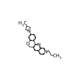 CCC[n+]1ccc2cc3c(nc2c1)-c1ccc(N2CC(C)C2)cc1OC3